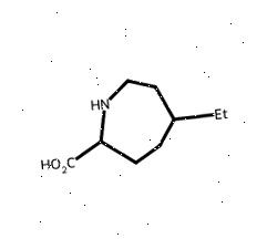 CCC1CCNC(C(=O)O)CC1